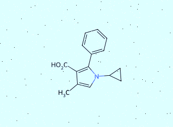 Cc1cn(C2CC2)c(-c2ccccc2)c1C(=O)O